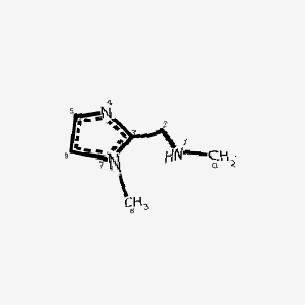 [CH2]NCc1nccn1C